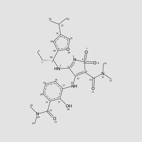 CC[C@@H](NC1=NS(=O)(=O)C(C(=O)N(C)C)=C1Nc1cccc(C(=O)N(C)C)c1O)c1cc(C(C)C)co1